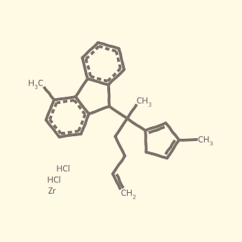 C=CCCC(C)(C1=CC(C)=CC1)C1c2ccccc2-c2c(C)cccc21.Cl.Cl.[Zr]